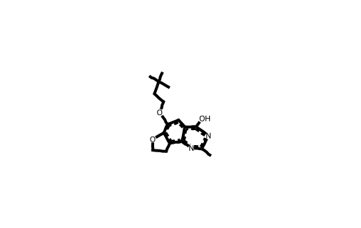 Cc1nc(O)c2cc(OCCC(C)(C)C)c3c(c2n1)CCO3